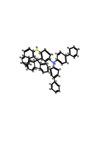 c1ccc(-c2ccc(N(c3ccc(-c4ccccc4)cc3)c3ccc4c(c3)C3(c5ccccc5-c5ccccc53)c3c(ccc5ccccc35)S4)cc2)cc1